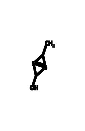 CC1S2=S1C2O